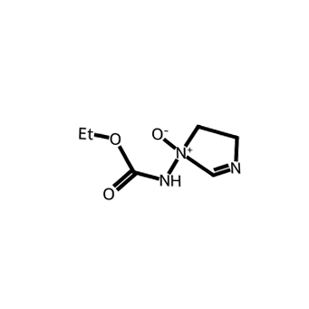 CCOC(=O)N[N+]1([O-])C=NCC1